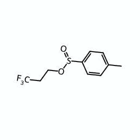 Cc1ccc(S(=O)OCCC(F)(F)F)cc1